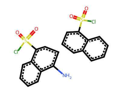 Nc1ccc(S(=O)(=O)Cl)c2ccccc12.O=S(=O)(Cl)c1cccc2ccccc12